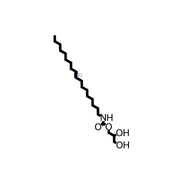 CCCCCCCC/C=C/CCCCCCCCNC(=O)OCC(O)CO